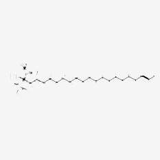 CC=CCCCCCCCCCCCCCCCCCC(CCC)(P(=O)=O)[N+](C)(C)C